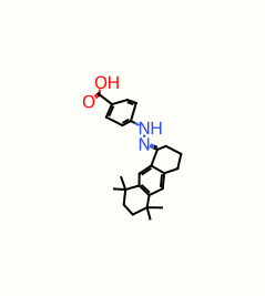 CC1(C)CCC(C)(C)c2cc3c(cc21)CCCC3=NNc1ccc(C(=O)O)cc1